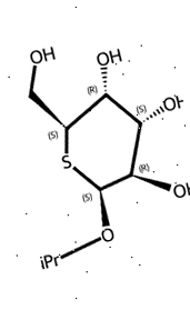 CC(C)O[C@H]1S[C@@H](CO)[C@H](O)[C@H](O)[C@H]1O